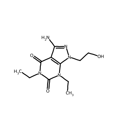 CCn1c(=O)c2c(N)nn(CCO)c2n(CC)c1=O